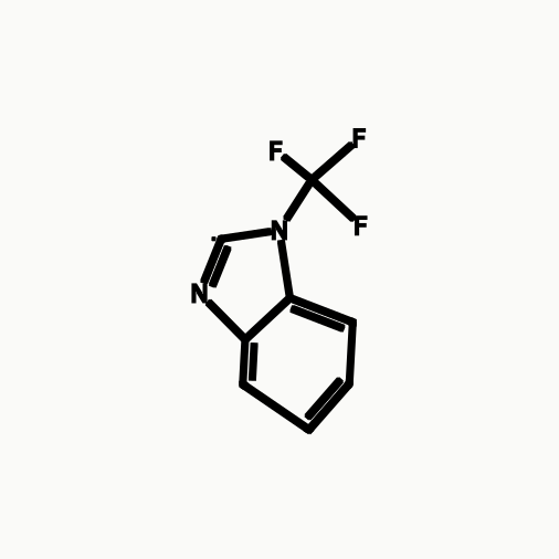 FC(F)(F)n1[c]nc2ccccc21